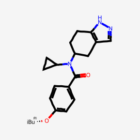 CC[C@@H](C)Oc1ccc(C(=O)N(C2CC2)C2CCc3[nH]ncc3C2)cc1